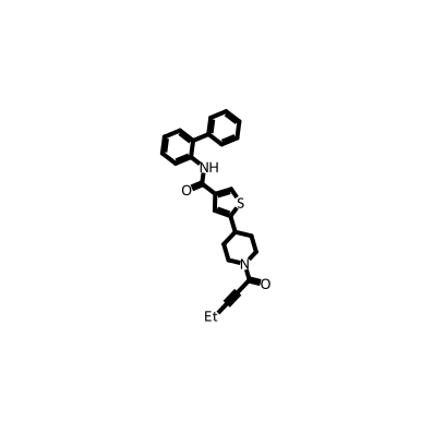 CCC#CC(=O)N1CCC(c2cc(C(=O)Nc3ccccc3-c3ccccc3)cs2)CC1